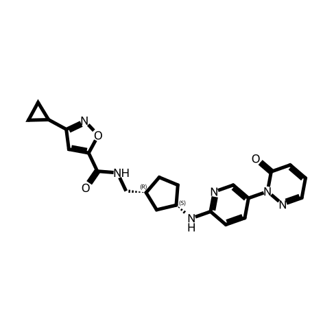 O=C(NC[C@@H]1CC[C@H](Nc2ccc(-n3ncccc3=O)cn2)C1)c1cc(C2CC2)no1